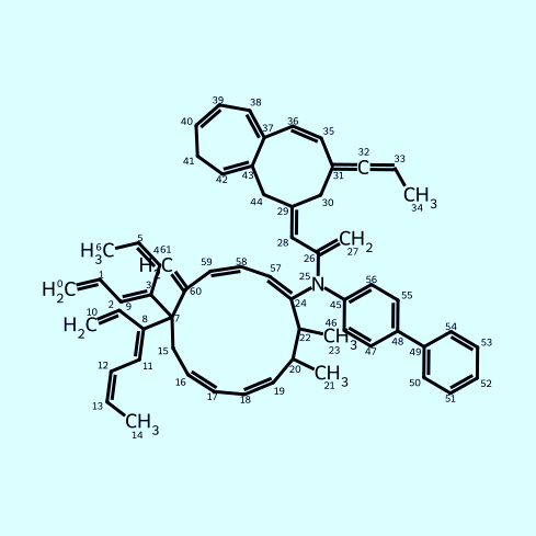 C=C/C=C(\C=C/C)C1(/C(C=C)=C/C=C\C)C/C=C\C=C/C(C)C(C)/C(N(C(=C)/C=C2\CC(=C=CC)/C=C\C3=CC=CCC=C3C2)c2ccc(-c3ccccc3)cc2)=C\C=C/C1=C